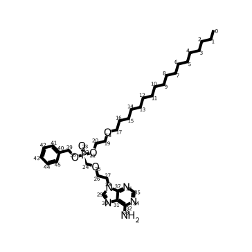 CCCCCCCCCCCCCCCCCCOCCO[P@](=O)(COCCn1cnc2c(N)ncnc21)OCc1ccccc1